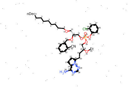 CCCCCCCCCCCCCCCCCCOC[C@H](COP(=O)(OC[C@H](CCc1ccc2c(N)ncnn12)OCC)Oc1ccccc1Cl)OCc1ccccc1C#N